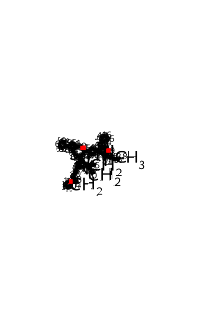 C=C/C=C(\C=C)c1nc(/C=C/C=C(\C=C)c2ccccc2)cc(/C2=C/C(c3ccc(C4=NC(/C(I)=C/C=C\C)=NCN4Cc4ccccc4)cc3)=C\Cc3ccc(C4C=CC=CC4)cc3SC2)n1